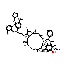 CC[C@H]1OC(=O)[C@H](C)[C@@H](O[C@H]2C[C@@](C)(OC)[C@@H](O)[C@H](C)O2)[C@H](C)[C@@H](O[C@@H]2O[C@H](C)C[C@H](N(C)C(=O)c3cccnc3)[C@H]2O)[C@](C)(OC)CCC[C@@H](C)C(=O)[C@H](C)[C@H]2N(CCCN(Cc3c(Cl)cncc3Cl)c3ccc(OC)c(OC4CCCC4)c3)C(=O)O[C@]12C